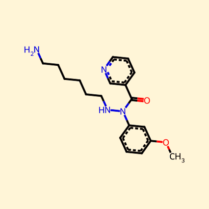 COc1cccc(N(NCCCCCCN)C(=O)c2cccnc2)c1